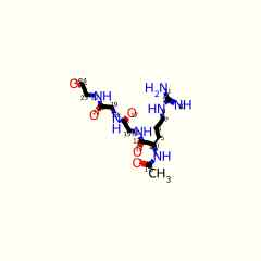 CC(=O)N[C@H](CCCNC(=N)N)C(=O)NCC(=O)NCC(=O)NC[C]=O